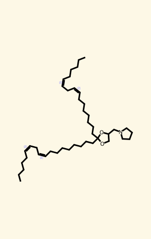 CCCCC/C=C\C/C=C\CCCCCCCCC1(CCCCCCC/C=C\C/C=C\CCCCC)OCC(CN2CCCC2)O1